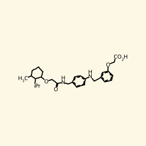 CC(C)C1C(C)CCCC1OCC(=O)NCc1ccc(NCc2cccc(OCC(=O)O)c2)cc1